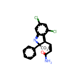 NC(=O)/C=C\C1=c2c(Cl)cc(Cl)cc2=NC1(C(=O)O)c1ccccc1